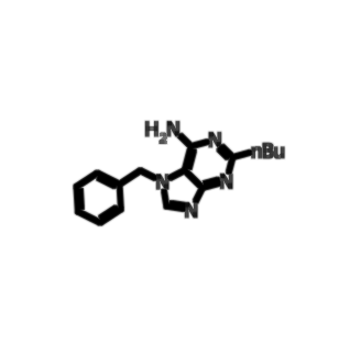 CCCCc1nc(N)c2c(ncn2Cc2ccccc2)n1